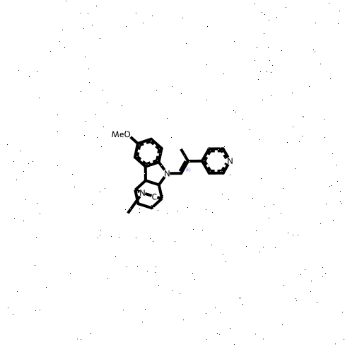 COc1ccc2c(c1)C1C3CCC(CN3C)C1N2/C=C(\C)c1ccncc1